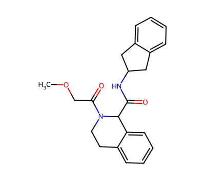 COCC(=O)N1CCc2ccccc2C1C(=O)NC1Cc2ccccc2C1